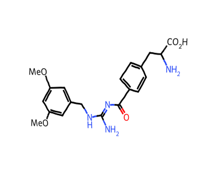 COc1cc(CNC(N)=NC(=O)c2ccc(CC(N)C(=O)O)cc2)cc(OC)c1